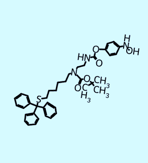 CC(C)(C)OC(=O)N(CCCCCCSC(c1ccccc1)(c1ccccc1)c1ccccc1)CCNC(=O)Oc1ccc(NO)cc1